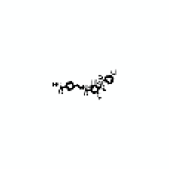 COc1cc(C(=O)NCCc2ccc(C(=O)O)cc2)cc(NS(=O)(=O)c2cccc(Cl)c2)c1OC